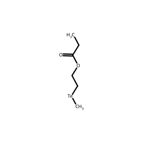 CCC(=O)OCC[Te]C